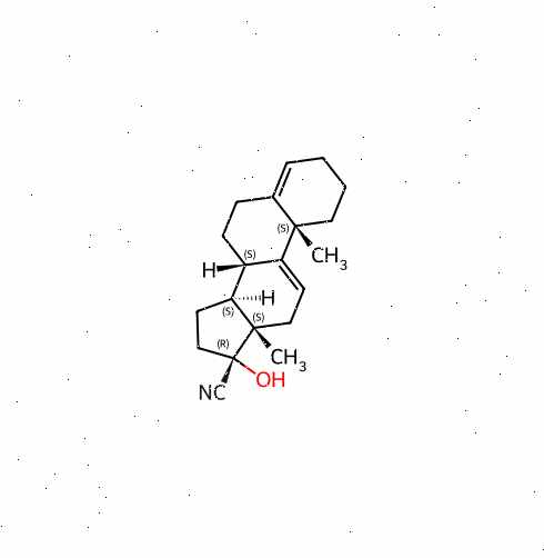 C[C@]12CCCC=C1CC[C@@H]1C2=CC[C@@]2(C)[C@H]1CC[C@]2(O)C#N